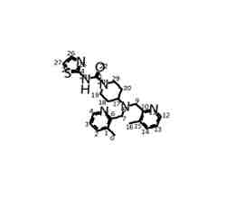 Cc1cccnc1CN(Cc1ncccc1C)C1CCN(C(=O)Nc2nccs2)CC1